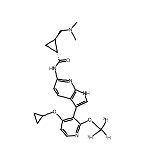 [2H]C([2H])([2H])Oc1nccc(OC2CC2)c1-c1c[nH]c2nc(NC(=O)[C@@H]3C[C@H]3CN(C)C)ccc12